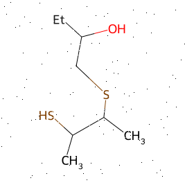 CCC(O)CSC(C)C(C)S